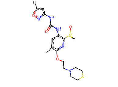 CCc1cc(NC(=O)Nc2cc(C)c(OCCN3CCSCC3)nc2[S+](C)[O-])no1